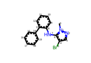 Cn1ncc(Br)c1Nc1ccccc1-c1ccccc1